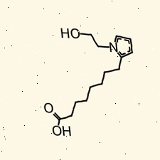 O=C(O)CCCCCCCc1cccn1CCO